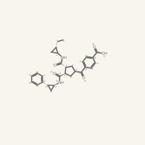 CC[C@H]1CC1NC(=O)[C@@H]1CC(C(=O)c2ccc(C(=O)O)cc2)C[C@H]1C(=O)N[C@H]1C[C@@H]1c1ccccc1